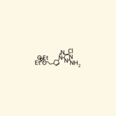 CCP(=O)(CC)OCCC1C=CC(n2cnc3c(Cl)nc(N)nc32)C1